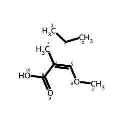 CCC.COC=C(C)C(=O)O